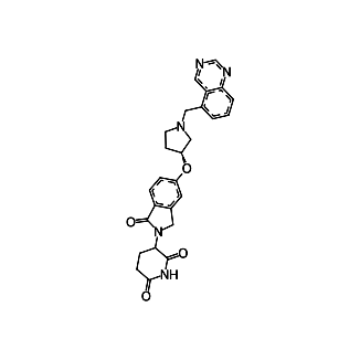 O=C1CCC(N2Cc3cc(O[C@H]4CCN(Cc5cccc6ncncc56)C4)ccc3C2=O)C(=O)N1